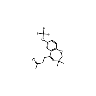 CC(=O)CCC1=CC(C)(C)COc2ccc(OC(F)(F)F)cc21